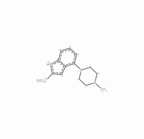 CCOC(=O)c1cc2c(N3CCN(C)CC3)cccc2[nH]1